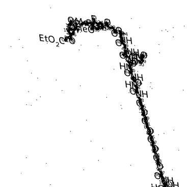 CCOC(=O)CCC(=O)c1cc2c(F)c(OCCCOc3c(OC)cc4c(c3F)CN(C(=O)CCC(=O)O[C@@H](C)CNC(=O)CC[C@H](NC(=O)CN3C(=O)C=CC3=O)C(=O)NCC(=O)NCC(=O)NCC(=O)NCC(=O)NCCOCCOCCOCCOCCOCCOCCOCCOCCC(=O)NC[C@H](O)[C@@H](O)[C@H](O)[C@H](O)CO)C4)c(OC)cc2s1